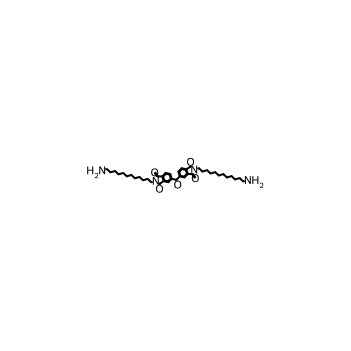 NCCCCCCCCCCCCN1C(=O)c2ccc(C(=O)c3ccc4c(c3)C(=O)N(CCCCCCCCCCCCN)C4=O)cc2C1=O